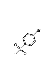 [CH2]S(=O)(=O)c1ccc(Br)cc1